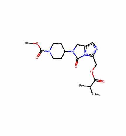 CC(=O)N[C@H](C(=O)OCc1ncc2n1C(=O)N(C1CCN(C(=O)OC(C)(C)C)CC1)C2)C(C)C